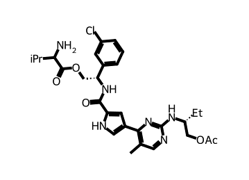 CC[C@H](COC(C)=O)Nc1ncc(C)c(-c2c[nH]c(C(=O)N[C@H](COC(=O)C(N)C(C)C)c3cccc(Cl)c3)c2)n1